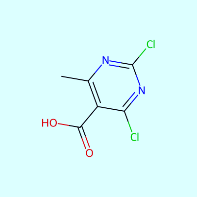 Cc1nc(Cl)nc(Cl)c1C(=O)O